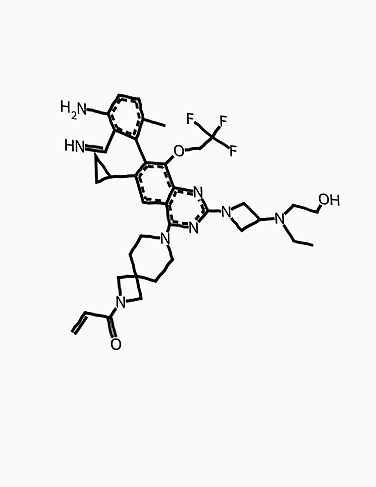 C=CC(=O)N1CC2(CCN(c3nc(N4CC(N(CC)CCO)C4)nc4c(OCC(F)(F)F)c(-c5c(C)ccc(N)c5C=N)c(C5CC5)cc34)CC2)C1